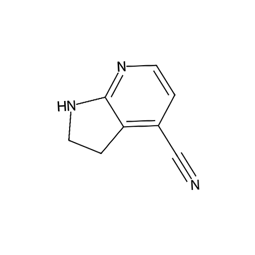 N#Cc1ccnc2c1CCN2